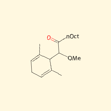 CCCCCCCCC(=O)C(OC)C1C(C)=CCC=C1C